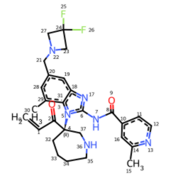 C=CC(=O)[C@@]1(n2c(NC(=O)c3ccnc(C)c3)nc3cc(CN4CC(F)(F)C4)cc(C)c32)CCCCNC1